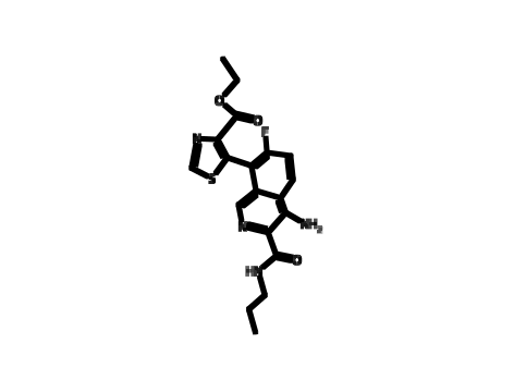 CCCNC(=O)c1ncc2c(-c3scnc3C(=O)OCC)c(F)ccc2c1N